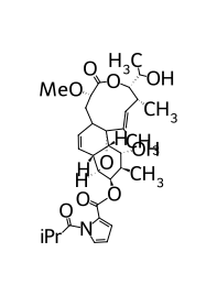 CO[C@H]1CC2C=C[C@H]3[C@H]4O[C@]2(/C(C)=C/[C@@H](C)[C@@H](C(C)O)OC1=O)[C@@H]3[C@H](O)[C@@H](C)[C@H]4OC(=O)c1cccn1C(=O)C(C)C